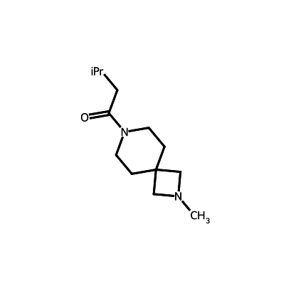 CC(C)CC(=O)N1CCC2(CC1)CN(C)C2